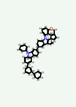 C1=Cc2c3n(c4ccc(-c5ccc6c7cc(-c8cccc(-c9ccccc9)c8)ccc7n(-c7ccccc7)c6c5)cc24)-c2cccc4c2C2=C(C=CC23C1)CO4